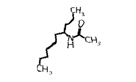 CCCCCCC(CCC)NC(C)=O